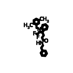 Cc1ccc(C)c(Cn2c(C(F)F)c(CCC(=O)NCCc3ccccc3)c3ccccc32)c1